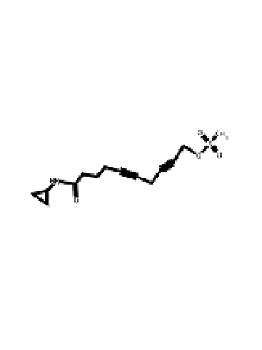 CS(=O)(=O)OCC#CCC#CCCCC(=O)NC1CC1